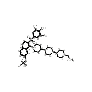 CCN1CCC(N2CCN(C3CCN(c4c(S(=O)(=O)c5cc(F)c(O)c(F)c5)cnc5ccc(OC(F)(F)F)cc45)CC3)CC2)CC1